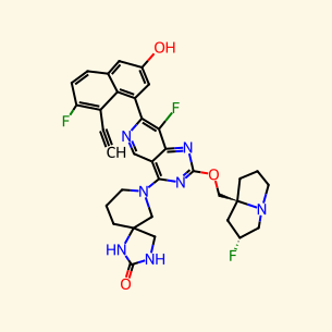 C#Cc1c(F)ccc2cc(O)cc(-c3ncc4c(N5CCCC6(CNC(=O)N6)C5)nc(OC[C@@]56CCCN5C[C@H](F)C6)nc4c3F)c12